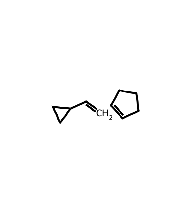 C1=CCCC1.C=CC1CC1